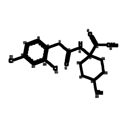 COC(=O)C1(NC(=O)Cc2ccc(Cl)cc2Cl)CCC(C(C)(C)C)CC1